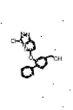 OCc1ccc(-c2ccccc2)c(Oc2ccc3nnc(Cl)n3n2)c1